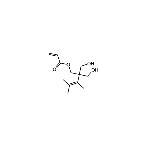 C=CC(=O)OCC(CO)(CO)C(C)=C(C)C